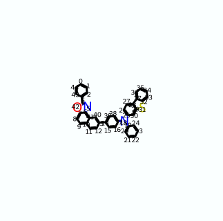 c1ccc(-c2nc3c(ccc4ccc(-c5ccc(N(c6ccccc6)c6ccc7c(c6)sc6ccccc67)cc5)cc43)o2)cc1